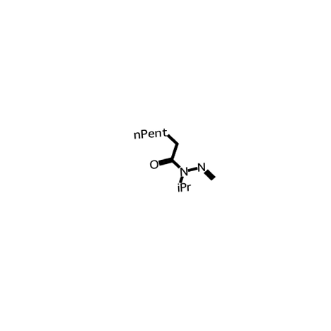 C=NN(C(=O)CCCCCC)C(C)C